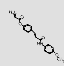 C=CC(=O)Oc1ccc(/C=C/C(=O)Nc2ccc(OC)cc2)cc1